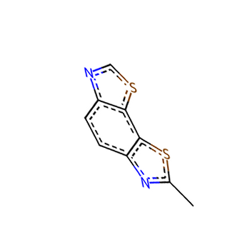 Cc1nc2ccc3ncsc3c2s1